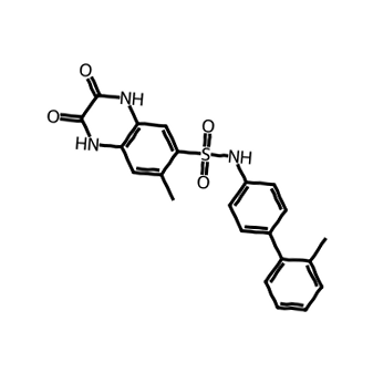 Cc1ccccc1-c1ccc(NS(=O)(=O)c2cc3[nH]c(=O)c(=O)[nH]c3cc2C)cc1